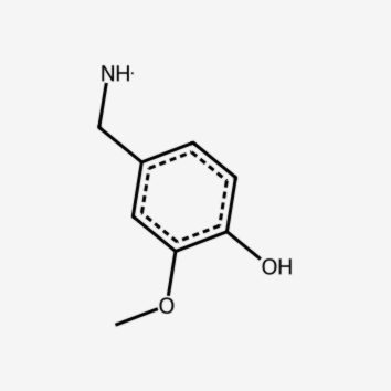 COc1cc(C[NH])ccc1O